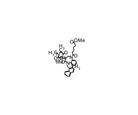 COC(=O)CCCCC(=O)N1C[C@H](NC(=O)[C@H](C)N(C)C(=O)OC(C)(C)C)C(=O)N(Cc2c(C)ccc3ccccc23)c2ccccc21